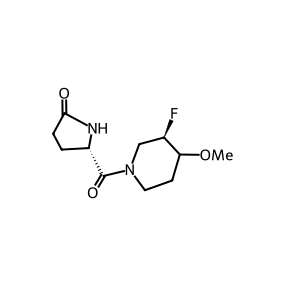 COC1CCN(C(=O)[C@@H]2CCC(=O)N2)C[C@H]1F